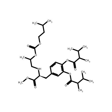 COC(=O)[C@H](Cc1ccc(OC(=O)C(C)C(C)C)c(OC(=O)C(C)C(C)C)c1)NCC(C)OC(=O)OCCC(C)C